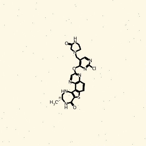 C[C@@H]1CNc2c(sc3ccc4nc(Oc5nc(Cl)ncc5CN5CCNC(=O)C5)cnc4c23)C(=O)N1